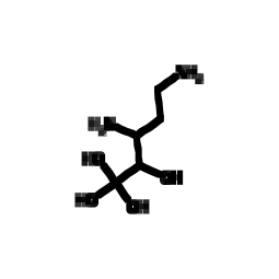 NCCC(N)C(O)C(O)(O)O